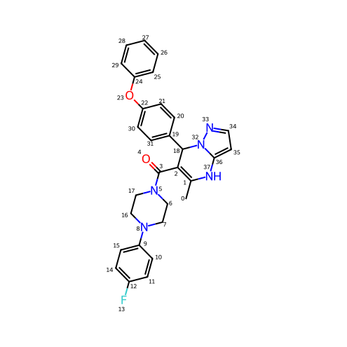 CC1=C(C(=O)N2CCN(c3ccc(F)cc3)CC2)C(c2ccc(Oc3ccccc3)cc2)n2nccc2N1